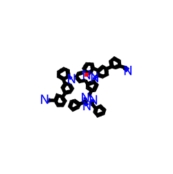 N#Cc1cccc(-c2ccc3c(c2)c2ccccc2n3-c2ccnc(-c3cc(-c4nc(-c5ccccc5)nc(-c5ccccc5)n4)ccc3-n3c4ccccc4c4cc(-c5cccc(C#N)c5)ccc43)c2)c1